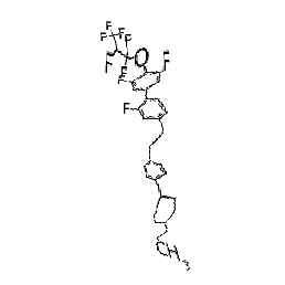 CCCC1CCC(c2ccc(CCc3ccc(-c4cc(F)c(OC(F)(F)C(F)C(F)(F)F)c(F)c4)c(F)c3)cc2)CC1